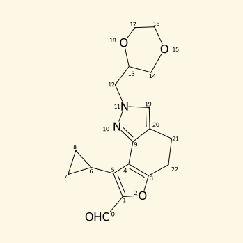 O=Cc1oc2c(c1C1CC1)-c1nn(CC3COCCO3)cc1CC2